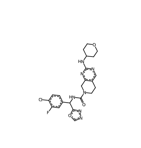 O=C(NC(c1ccc(Cl)c(F)c1)c1nnco1)N1CCc2cnc(NC3CCOCC3)nc2C1